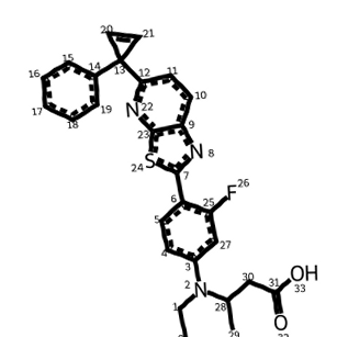 CCN(c1ccc(-c2nc3ccc(C4(c5ccccc5)C=C4)nc3s2)c(F)c1)C(C)CC(=O)O